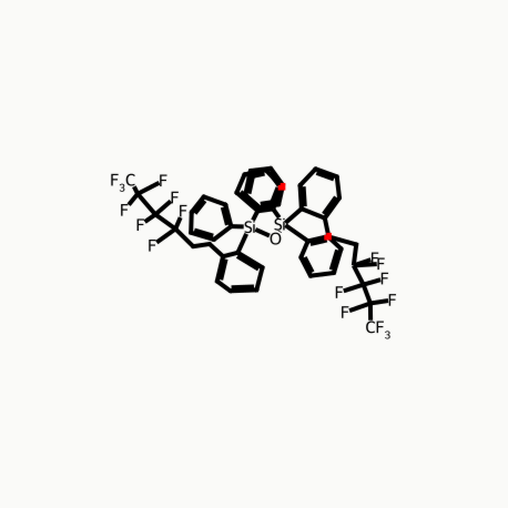 FC(F)(F)C(F)(F)C(F)(F)C(F)(F)CCc1ccccc1[Si](O[Si](c1ccccc1)(c1ccccc1)c1ccccc1CCC(F)(F)C(F)(F)C(F)(F)C(F)(F)F)(c1ccccc1)c1ccccc1